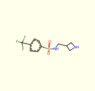 O=S(=O)(NCC1CNC1)c1ccc(C(F)(F)F)cc1